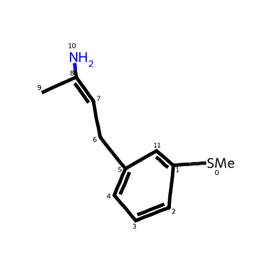 CSc1cccc(C/C=C(\C)N)c1